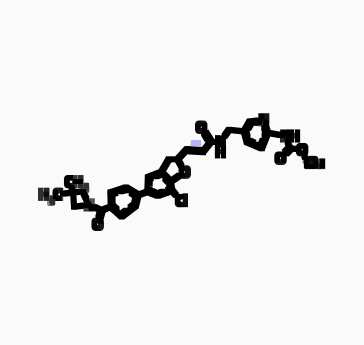 CC1(C)CN(C(=O)c2ccc(-c3cc(Cl)c4c(c3)CC(/C=C/C(=O)NCc3ccc(NC(=O)OC(C)(C)C)nc3)O4)cc2)C1